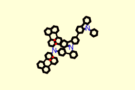 c1ccc(-c2cccc3cccc(-c4ccc(N(c5ccc(-c6ccccc6-n6c7ccccc7c7cc(-c8ccc9c%10ccccc%10n(-c%10ccccc%10)c9c8)ccc76)cc5)c5ccc(-c6cccc7cccc(-c8ccccc8)c67)cc5)cc4)c23)cc1